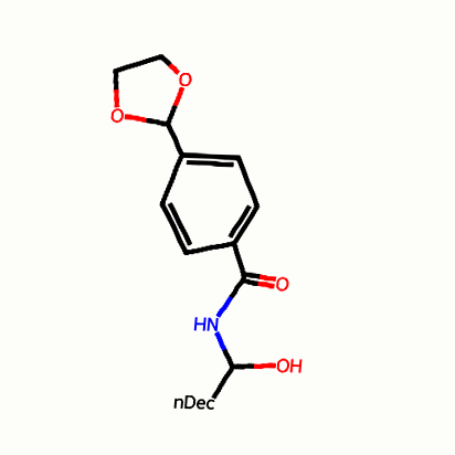 CCCCCCCCCCC(O)NC(=O)c1ccc(C2OCCO2)cc1